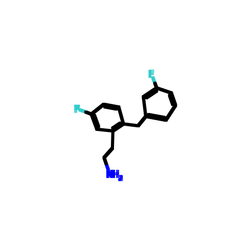 NCCc1cc(F)ccc1Cc1cccc(F)c1